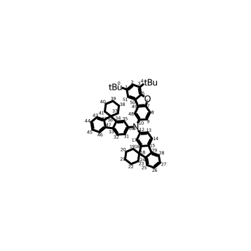 CC(C)(C)c1cc(C(C)(C)C)c2oc3ccc(N(c4ccc5c(c4)C4(CCCCC4)c4ccccc4-5)c4ccc5c(c4)C4(CCCCC4)c4ccccc4-5)cc3c2c1